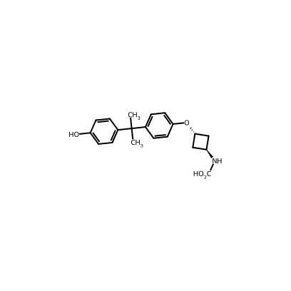 CC(C)(c1ccc(O)cc1)c1ccc(O[C@H]2C[C@H](NC(=O)O)C2)cc1